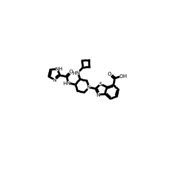 O=C(NC1CCN(c2nc3cccc(C(=O)O)c3s2)CC1NC1CCC1)c1ncc[nH]1